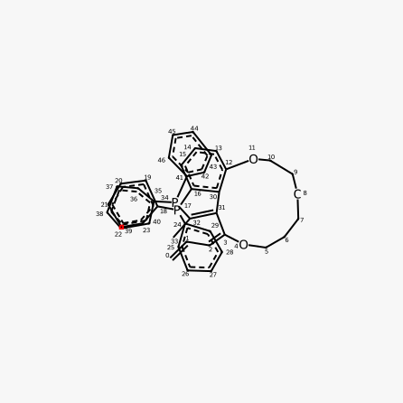 C=C/C=C1/OCCCCCCOc2cccc(P(c3ccccc3)c3ccccc3)c2/C1=C(/C)P(c1ccccc1)c1ccccc1